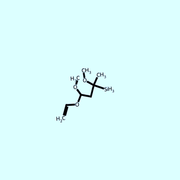 C=COC(CC(C)([SiH3])OC)OC